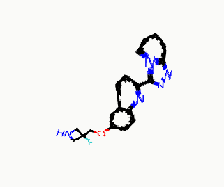 FC1(COc2ccc3nc(-c4nnc5ccccn45)ccc3c2)CNC1